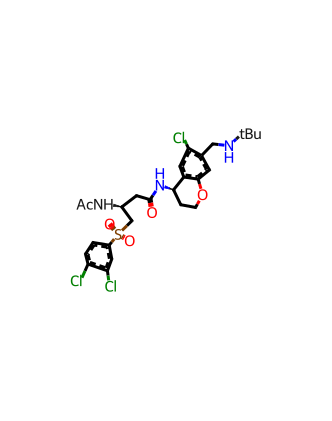 CC(=O)N[C@@H](CC(=O)N[C@@H]1CCOc2cc(CNC(C)(C)C)c(Cl)cc21)CS(=O)(=O)c1ccc(Cl)c(Cl)c1